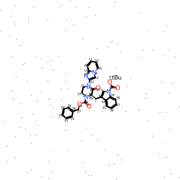 CC(C)(C)OC(=O)n1cc(C[C@@H]2C(=O)N(c3cn4ccccc4n3)CCN2C(=O)OCc2ccccc2)c2ccccc21